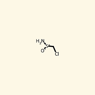 N[S+]([O-])CCl